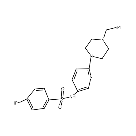 CC(C)CN1CCN(c2ccc(NS(=O)(=O)c3ccc(C(C)C)cc3)cn2)CC1